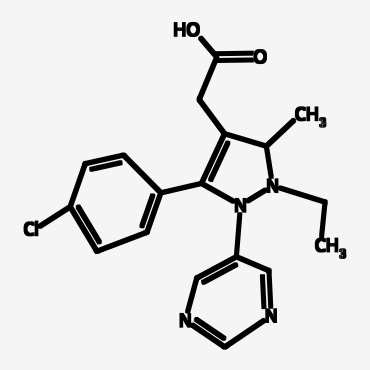 CCN1C(C)C(CC(=O)O)=C(c2ccc(Cl)cc2)N1c1cncnc1